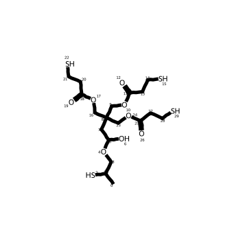 CC(S)COC(O)CC(COC(=O)CCS)(COC(=O)CCS)COC(=O)CCS